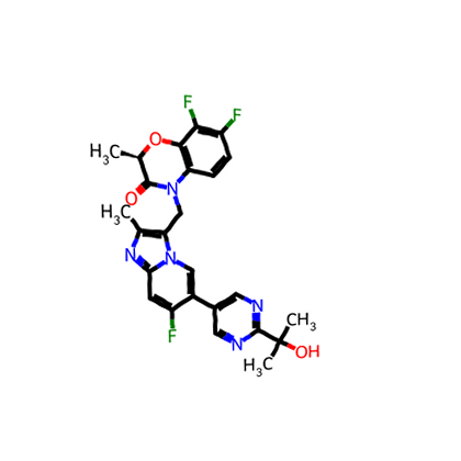 Cc1nc2cc(F)c(-c3cnc(C(C)(C)O)nc3)cn2c1CN1C(=O)[C@@H](C)Oc2c1ccc(F)c2F